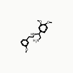 COc1cccc(CCNC(CN)c2ccc(OC)c(OC)c2)c1